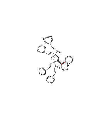 C=C(C=Cc1ccccc1)C(C=Cc1ccccc1)(C=Cc1ccccc1)OC(C=Cc1ccccc1)(C=Cc1ccccc1)C(=C)C=Cc1ccccc1